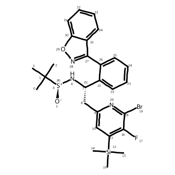 CC(C)(C)[S@+]([O-])N[C@@H](Cc1cc([Si](C)(C)C)c(F)c(Br)n1)c1ccccc1-c1noc2ccccc12